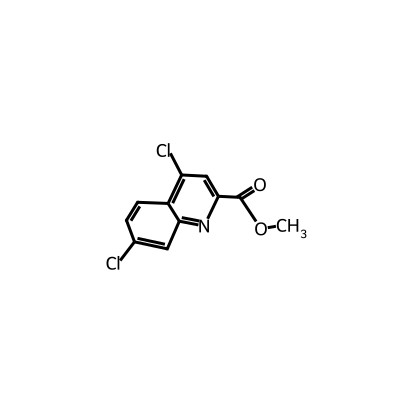 COC(=O)c1cc(Cl)c2ccc(Cl)cc2n1